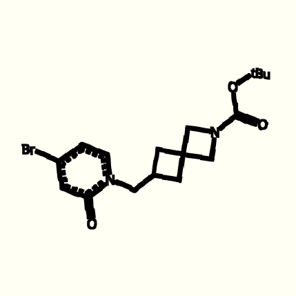 CC(C)(C)OC(=O)N1CC2(CC(Cn3ccc(Br)cc3=O)C2)C1